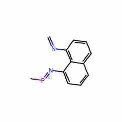 C=Nc1cccc2cccc(/N=P/C)c12